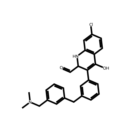 CN(C)Cc1cccc(Cc2cccc(C3=C(O)c4ccc(Cl)cc4NC3C=O)c2)c1